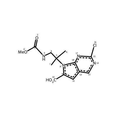 COC(=O)NCC(C)(C)n1c(C(=O)O)cc2cnc(Cl)nc21